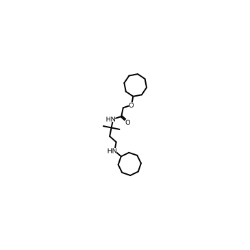 CC(C)(CCNC1CCCCCCC1)NC(=O)COC1CCCCCCC1